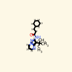 CC(C)(C)c1c(NC(=O)CCC2CCCCC2)nn2cccnc12